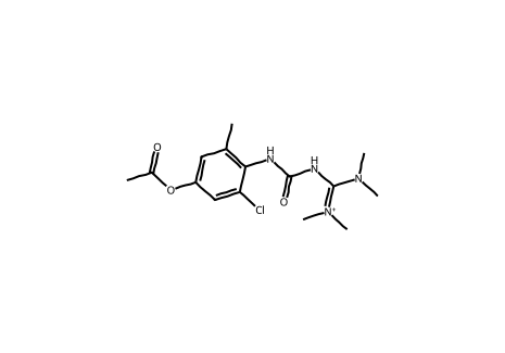 CC(=O)Oc1cc(C)c(NC(=O)NC(N(C)C)=[N+](C)C)c(Cl)c1